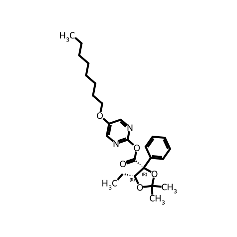 CCCCCCCCOc1cnc(OC(=O)[C@]2(c3ccccc3)OC(C)(C)O[C@@H]2CC)nc1